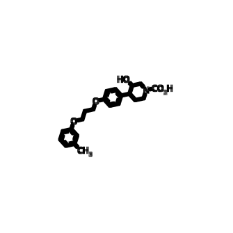 Cc1cccc(OCCCOc2ccc(C3CCN(C(=O)O)CC3O)cc2)c1